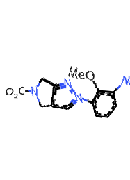 COc1c(N)cccc1-n1cc2c(n1)CN(C(=O)O)C2